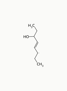 CC[CH]C=CC(O)CC